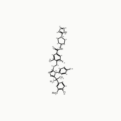 COc1cc(C(C)(C)c2cnc(SCc3c(F)cc(C(=O)NC4CCN(c5nnn[nH]5)CC4)cc3Cl)n2-c2ccc(F)cc2)ccc1Cl